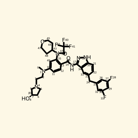 CN(CCN1CC[C@@H](O)C1)c1ccc(C(=O)Nc2n[nH]c3ccc(Cc4cc(F)cc(F)c4)cc23)c(N(C(=O)C(F)(F)F)C2CCOCC2)c1